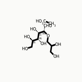 CC(=O)O.O=C[C@H](OCC(O)CO)[C@@H](O)[C@H](O)[C@H](O)CO